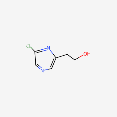 OCCc1cncc(Cl)n1